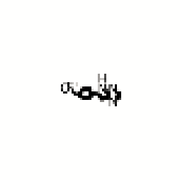 O=[S+]Cc1ccc(-c2cc3nccnc3[nH]2)cc1